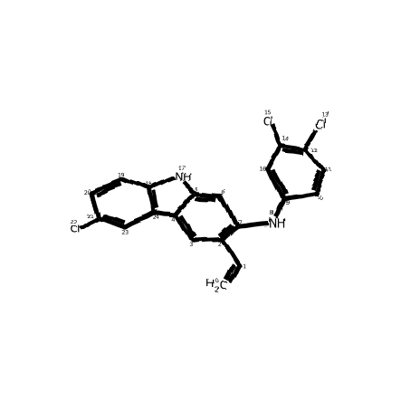 C=Cc1cc2c(cc1Nc1ccc(Cl)c(Cl)c1)[nH]c1ccc(Cl)cc12